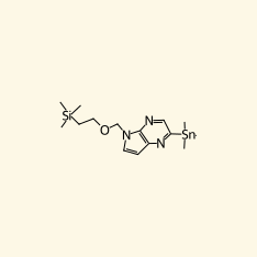 C[Si](C)(C)CCOCn1ccc2n[c]([Sn]([CH3])([CH3])[CH3])cnc21